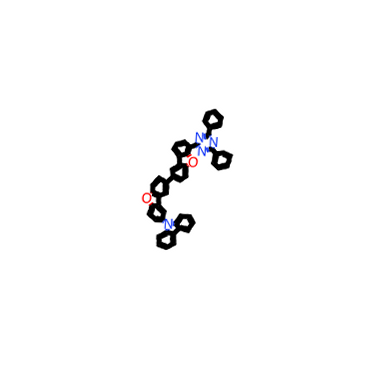 c1ccc(-c2nc(-c3ccccc3)nc(-c3cccc4c3oc3ccc(-c5ccc6oc7ccc(-n8c9ccccc9c9ccccc98)cc7c6c5)cc34)n2)cc1